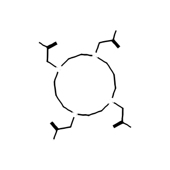 CC(=O)CN1CCCN(CC(=O)O)CCN(CC(=O)O)CCCN(CC(=O)O)CC1